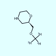 [2H]C([2H])([2H])OC[C@H]1CNCCO1